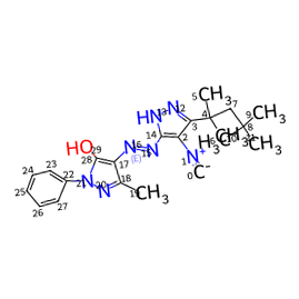 [C-]#[N+]c1c(C(C)(C)CC(C)(C)C)n[nH]c1/N=N/c1c(C)nn(-c2ccccc2)c1O